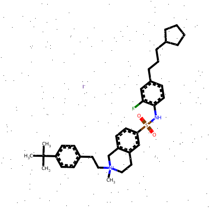 CC(C)(C)c1ccc(CC[N+]2(C)CCc3cc(S(=O)(=O)Nc4ccc(CCCC5CCCC5)cc4F)ccc3C2)cc1.[I-]